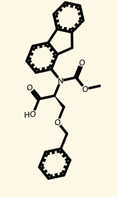 COC(=O)N(c1cccc2c1Cc1ccccc1-2)[C@@H](COCc1ccccc1)C(=O)O